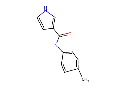 Cc1ccc(NC(=O)c2cc[nH]c2)cc1